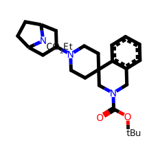 CCOC(=O)N1C2CCC1CC(N1CCC3(CC1)CN(C(=O)OC(C)(C)C)Cc1ccccc13)C2